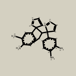 CCC(C1(c2ccc(N)c(N)c2)C=CN=N1)C1(c2ccc(N)c(N)c2)C=CN=N1